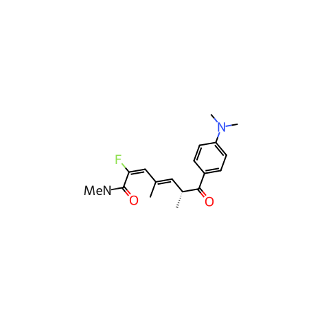 CNC(=O)/C(F)=C\C(C)=C\[C@@H](C)C(=O)c1ccc(N(C)C)cc1